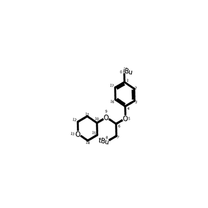 CCC(C)c1ccc(OC(CC(C)(C)C)OC2CCOCC2)cc1